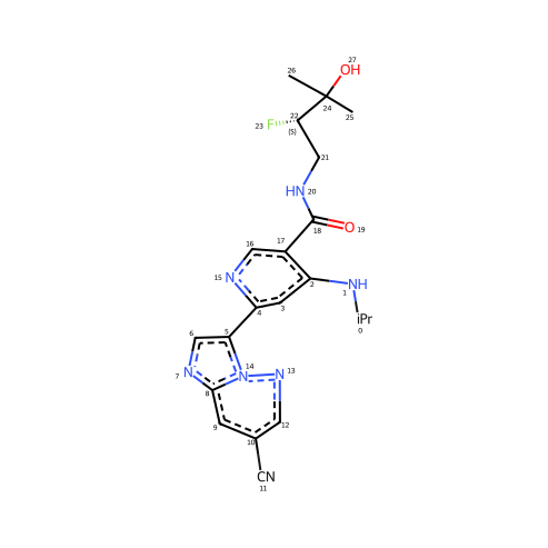 CC(C)Nc1cc(-c2cnc3cc(C#N)cnn23)ncc1C(=O)NC[C@H](F)C(C)(C)O